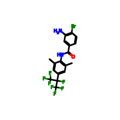 Cc1cc(C(F)(C(F)(F)F)C(F)(F)F)cc(C)c1NC(=O)c1ccc(Br)c(N)c1